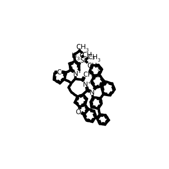 C=C1C2C(CCc3cc4oc5ccccc5c4cc3-c3n(-c4ccc(-c5ccccc5)cc4-c4ccccc4)c4ccc5ccccc5c4[n+]31)c1ccccc1-c1cc(CC(C)C)c([Si](C)(C)C)c[n+]12